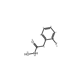 O=C(Cc1ccccc1F)NO